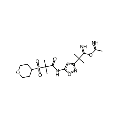 CC(=N)OC(=N)C(C)(C)c1cc(NC(=O)C(C)(C)S(=O)(=O)C2CCOCC2)on1